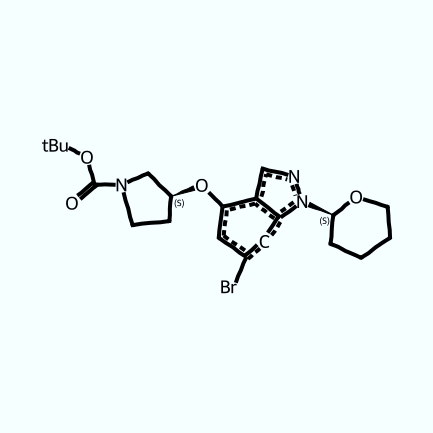 CC(C)(C)OC(=O)N1CC[C@H](Oc2cc(Br)cc3c2cnn3[C@@H]2CCCCO2)C1